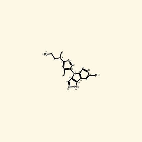 Cc1cc(N(C)CCO)ncc1-n1c2ccc(F)cc2c2[nH]ncc21